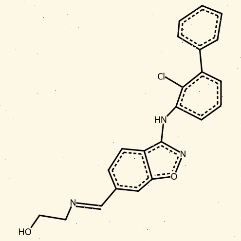 OCCN=Cc1ccc2c(Nc3cccc(-c4ccccc4)c3Cl)noc2c1